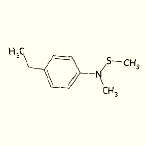 CCc1ccc(N(C)SC)cc1